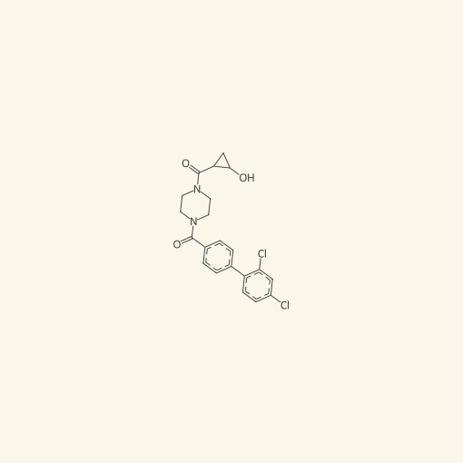 O=C(c1ccc(-c2ccc(Cl)cc2Cl)cc1)N1CCN(C(=O)C2CC2O)CC1